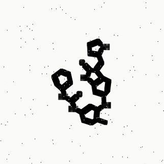 Cc1ccc(NC(=O)Nc2ccccc2)cc1Nc1ccc2c(c1)NC(=O)C2=Cc1ccc[nH]1